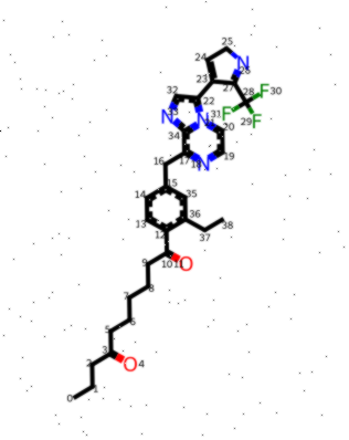 CCCC(=O)CCCCCC(=O)c1ccc(Cc2nccn3c(C4=CCN=C4C(F)(F)F)cnc23)cc1CC